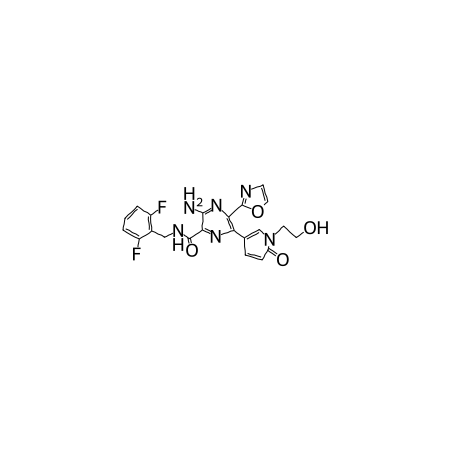 Nc1nc(-c2ncco2)c(-c2ccc(=O)n(CCO)c2)nc1C(=O)NCc1c(F)cccc1F